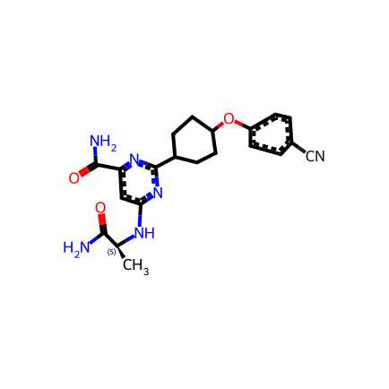 C[C@H](Nc1cc(C(N)=O)nc(C2CCC(Oc3ccc(C#N)cc3)CC2)n1)C(N)=O